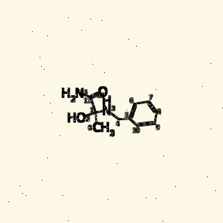 CC(O)(NCc1ccccc1)C(N)=O